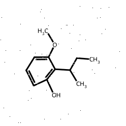 CCC(C)c1c(O)cccc1OC